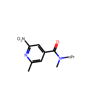 CCCN(C)C(=O)c1cc(C)nc([N+](=O)[O-])c1